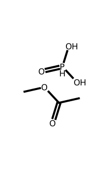 COC(C)=O.O=[PH](O)O